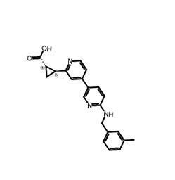 Cc1cccc(CNc2ccc(-c3ccnc([C@H]4C[C@@H]4C(=O)O)c3)cn2)c1